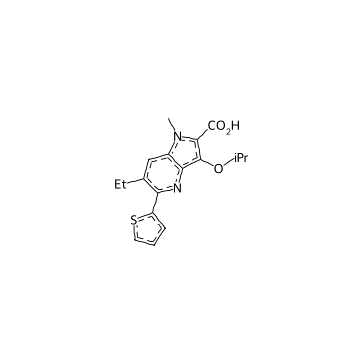 CCc1cc2c(nc1-c1cccs1)c(OC(C)C)c(C(=O)O)n2C